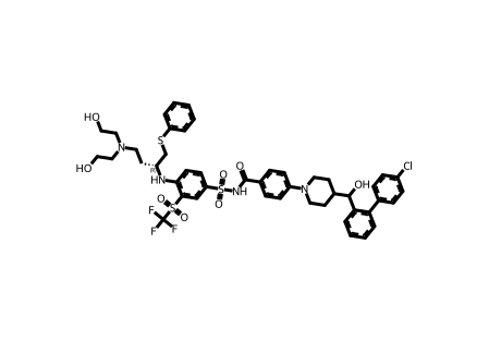 O=C(NS(=O)(=O)c1ccc(N[C@H](CCN(CCO)CCO)CSc2ccccc2)c(S(=O)(=O)C(F)(F)F)c1)c1ccc(N2CCC(C(O)c3ccccc3-c3ccc(Cl)cc3)CC2)cc1